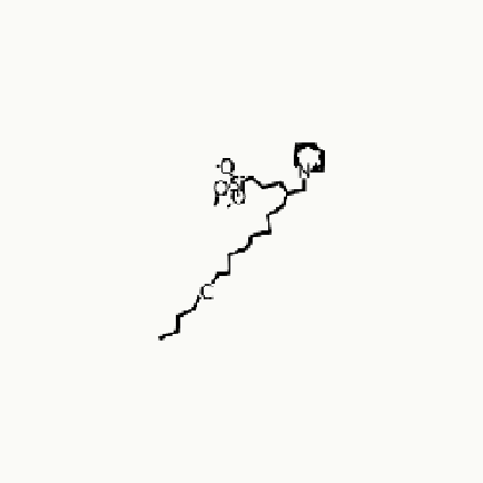 CCCCCCCCCCCCCCC(CCC[Si](OC)(OC)OC)C[n+]1ccccc1